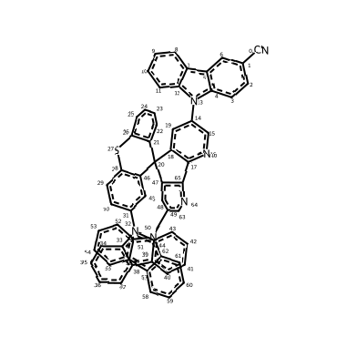 N#Cc1ccc2c(c1)c1ccccc1n2-c1cnc2c(c1)C1(c3ccccc3Sc3ccc(-n4c5ccccc5c5ccccc54)cc31)c1cc(-n3c4ccccc4c4ccccc43)cnc1-2